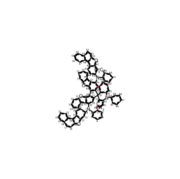 Cc1ccccc1N(c1ccc2c(c1)oc1ccc3ccccc3c12)c1cc2c(c3oc4ccccc4c13)-c1c(cc(N(c3ccc4c(c3)oc3ccc5ccccc5c34)c3ccccc3C)c3c1oc1ccccc13)C21c2ccccc2N(c2ccccc2)c2ccccc21